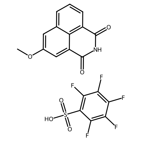 COc1cc2c3c(cccc3c1)C(=O)NC2=O.O=S(=O)(O)c1c(F)c(F)c(F)c(F)c1F